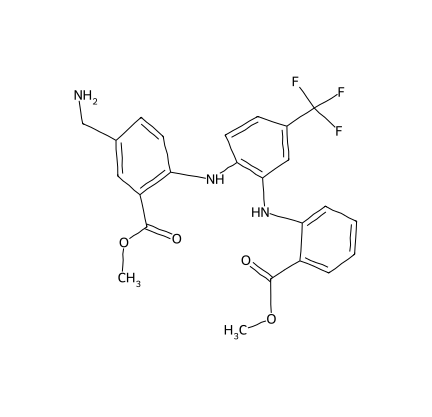 COC(=O)c1ccccc1Nc1cc(C(F)(F)F)ccc1Nc1ccc(CN)cc1C(=O)OC